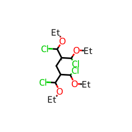 CCOC(Cl)[C](CC(C(Cl)OCC)C(Cl)OCC)C(Cl)OCC